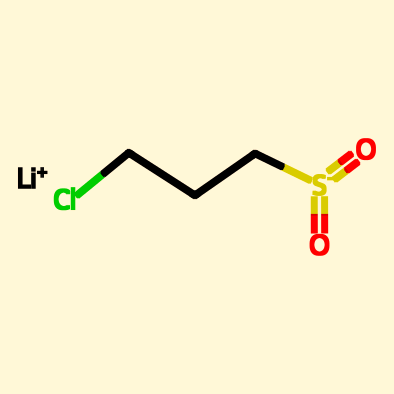 O=[S-](=O)CCCCl.[Li+]